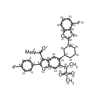 CNC(=O)c1c(-c2ccc(F)cc2)oc2cc(N(C)S(C)(=O)=O)c([C@@H]3CCCN(c4nc5c(F)cccc5o4)C3)cc12